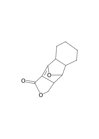 O=C1OCC2C1=C1OC2C2CCCCC12